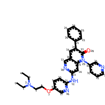 CCN(CC)CCOc1ccc(Nc2cc3c(cn2)cc(-c2ccccc2)c(=O)n3-c2cccnc2)nc1